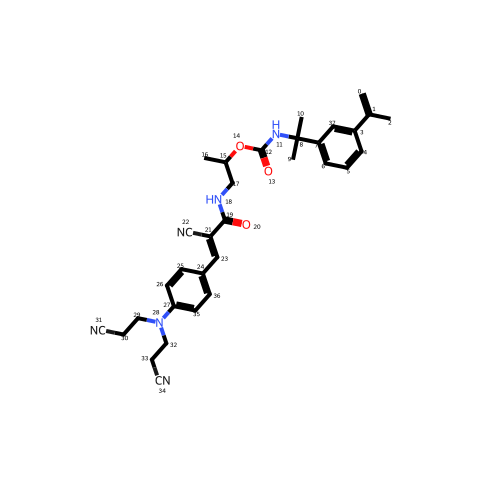 C=C(C)c1cccc(C(C)(C)NC(=O)OC(C)CNC(=O)/C(C#N)=C/c2ccc(N(CCC#N)CCC#N)cc2)c1